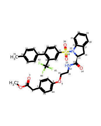 COC(=O)Cc1ccc(OCCNC(=O)[C@@H]2Cc3ccccc3N2S(=O)(=O)c2ccc(-c3ccc(C)cc3)c(C(F)(F)F)c2)cc1